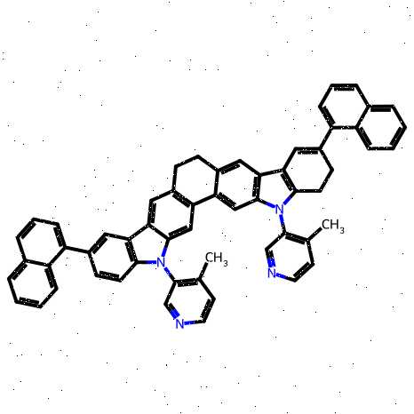 Cc1ccncc1-n1c2c(c3cc4c(cc31)-c1cc3c(cc1CC4)c1cc(-c4cccc5ccccc45)ccc1n3-c1cnccc1C)C=C(c1cccc3ccccc13)CC2